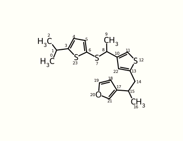 CC(C)c1ccc(SC(C)c2csc(CC(C)c3ccoc3)c2)s1